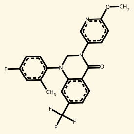 COc1ccc(N2CN(c3ccc(F)cc3C)c3cc(C(F)(F)F)ccc3C2=O)cn1